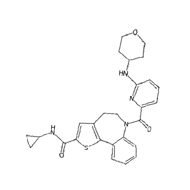 O=C(NC1CC1)c1cc2c(s1)-c1ccccc1N(C(=O)c1cccc(NC3CCOCC3)n1)CC2